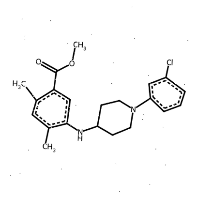 COC(=O)c1cc(NC2CCN(c3cccc(Cl)c3)CC2)c(C)cc1C